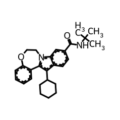 CC(C)(C)NC(=O)c1ccc2c(C3CCCCC3)c3n(c2c1)CCOc1ccccc1-3